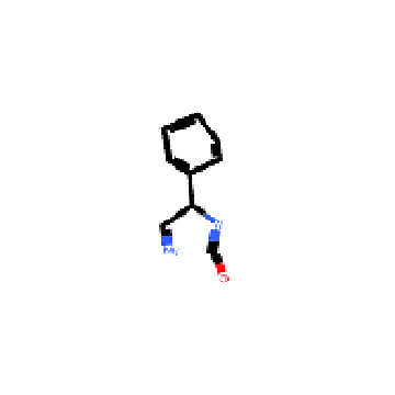 N=CC(N=C=O)c1ccccc1